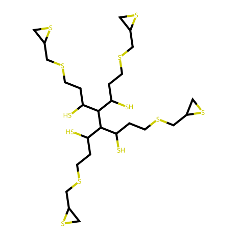 SC(CCSCC1CS1)C(C(S)CCSCC1CS1)C(C(S)CCSCC1CS1)C(S)CCSCC1CS1